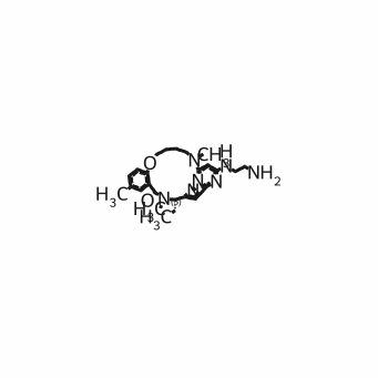 CC[C@H]1c2cc3nc(NCCN)cc(n3n2)N(C)CCCCOc2ccc(C)cc2C(=O)N1C